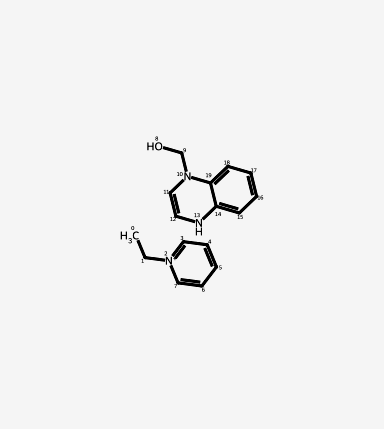 CC[n+]1ccccc1.OCN1C=CNc2ccccc21